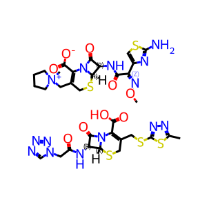 CO/N=C(\C(=O)N[C@@H]1C(=O)N2C(C(=O)[O-])=C(C[N+]3(C)CCCC3)CS[C@H]12)c1csc(N)n1.Cc1nnc(SCC2=C(C(=O)O)N3C(=O)[C@@H](NC(=O)Cn4cnnn4)[C@H]3SC2)s1